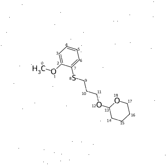 COc1ccccc1SCCCOC1CCCCO1